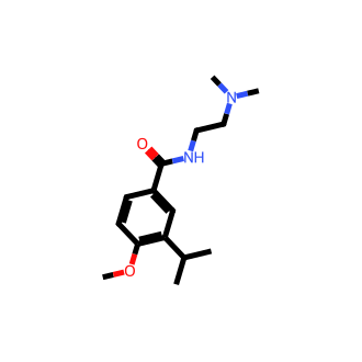 COc1ccc(C(=O)NCCN(C)C)cc1C(C)C